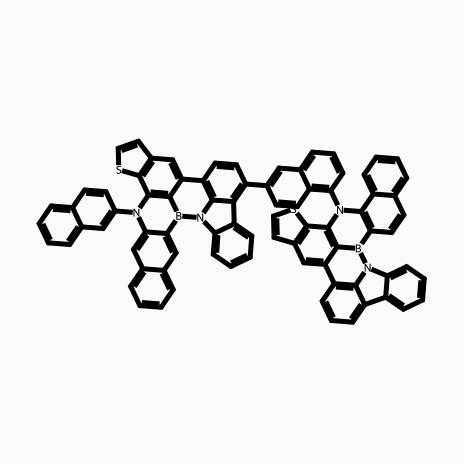 c1ccc2cc(N3c4cc5ccccc5cc4B4c5c(cc6ccsc6c53)-c3ccc(-c5ccc6c(N7c8c(ccc9ccccc89)B8c9c(cc%10ccsc%10c97)-c7cccc9c%10ccccc%10n8c79)cccc6c5)c5c6ccccc6n4c35)ccc2c1